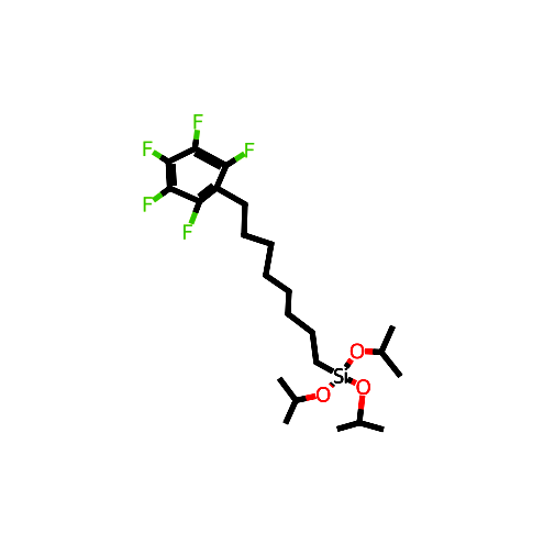 CC(C)O[Si](CCCCCCCCc1c(F)c(F)c(F)c(F)c1F)(OC(C)C)OC(C)C